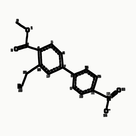 COC(=O)c1ccc(-c2ccc([N+](=O)[O-])cc2)cc1CBr